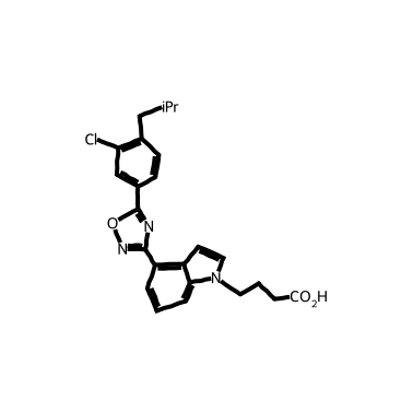 CC(C)Cc1ccc(-c2nc(-c3cccc4c3ccn4CCCC(=O)O)no2)cc1Cl